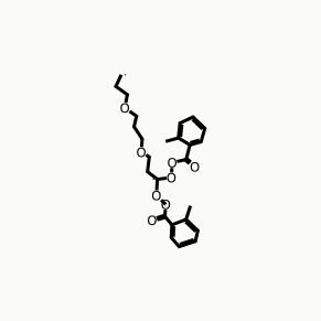 [CH2]CCOCCCOCC[C](OOC(=O)c1ccccc1C)OOC(=O)c1ccccc1C